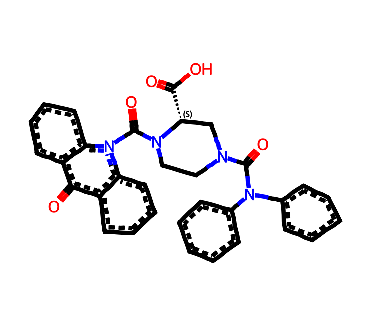 O=C(O)[C@@H]1CN(C(=O)N(c2ccccc2)c2ccccc2)CCN1C(=O)n1c2ccccc2c(=O)c2ccccc21